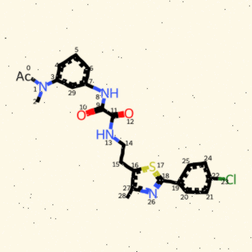 CC(=O)N(C)c1cccc(NC(=O)C(=O)NCCc2sc(-c3ccc(Cl)cc3)nc2C)c1